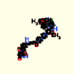 COc1cc(N2CCC(N3CCN(C(=O)CCCCNc4ccc5c(c4)CN(C4CCC(=O)NC4=O)C5=O)CC3)CC2)ccc1Nc1ncc(Cl)c(Nc2ccccc2P(=O)(OC)OC)n1